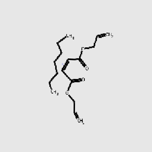 C=CCOC(=O)/C=C\C(=O)OCC=C.CCCCCCC